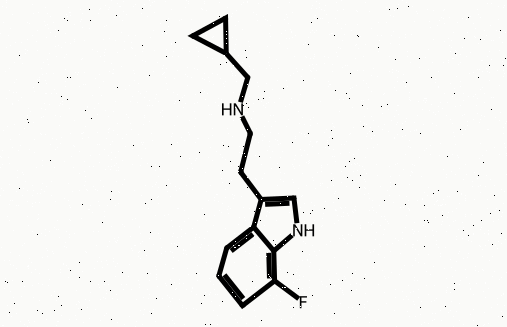 Fc1cccc2c(CCNCC3CC3)c[nH]c12